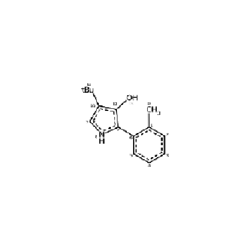 Cc1ccccc1-c1[nH]cc(C(C)(C)C)c1O